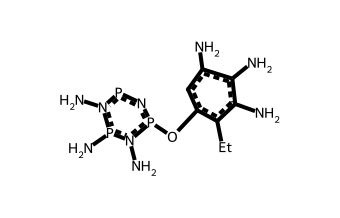 CCc1c(Op2npn(N)p(N)n2N)cc(N)c(N)c1N